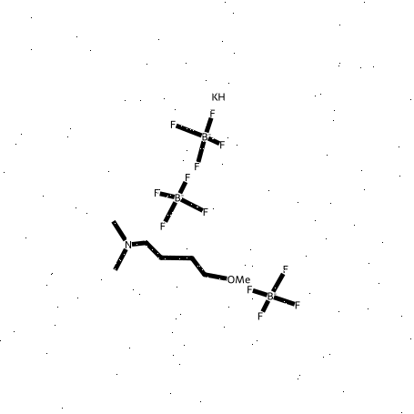 COCCCCN(C)C.F[B-](F)(F)F.F[B-](F)(F)F.F[B-](F)(F)F.[KH]